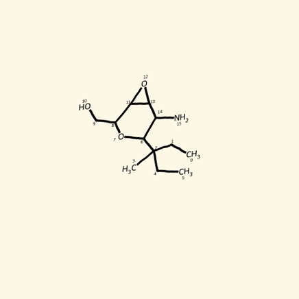 CCC(C)(CC)C1OC(CO)C2OC2C1N